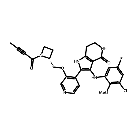 CC#CC(=O)N1CC[C@@H]1COc1cnccc1-c1[nH]c2c(c1Nc1cc(F)cc(Cl)c1OC)C(=O)NCC2